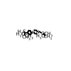 CC(c1ccc(N2CCN(CCOC(C)(C)C)CC2)cc1)C(C)(C)C